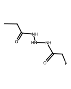 CCC(=O)NNNC(=O)CF